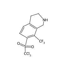 O=S(=O)(c1ccc2c(c1C(F)(F)F)CNCC2)C(Cl)(Cl)Cl